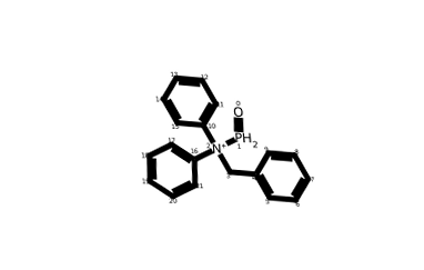 O=[PH2][N+](Cc1ccccc1)(c1ccccc1)c1ccccc1